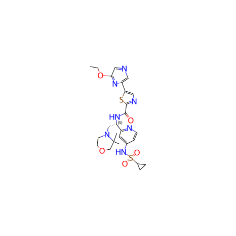 CCOc1cncc(-c2cnc(C(=O)N[C@@H](CN3CCOCC3(C)C)c3cc(NS(=O)(=O)C4CC4)ccn3)s2)n1